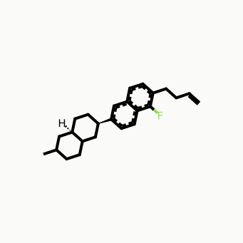 C=CCCc1ccc2cc([C@@H]3CC[C@@H]4CC(C)CCC4C3)ccc2c1F